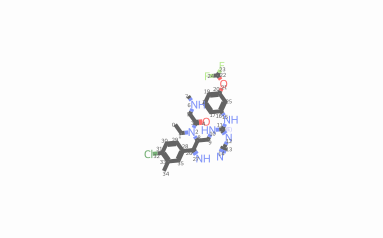 CCN(C(=O)CNC)C(CN/C(=N\C#N)Nc1cccc(OC(F)F)c1)C(=N)c1ccc(Cl)c(C)c1